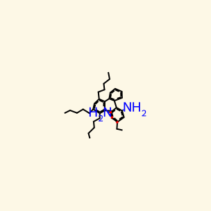 CCCCCc1cc(CCCCC)c(-c2ccccc2-c2c(N)cccc2N)c(CCCCC)c1CCCCC